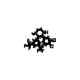 CN1CCNC(c2ccc(Cl)c(Cl)c2)C1c1cc(C(F)(F)F)cc(C(F)(F)F)c1